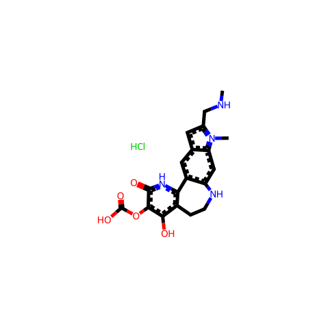 CNCc1cc2cc3c(cc2n1C)NCCc1c-3[nH]c(=O)c(OC(=O)O)c1O.Cl